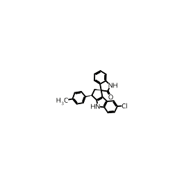 Cc1ccc([C@H]2C[C@@]3(C(=O)Nc4ccccc43)c3c2[nH]c2ccc(Cl)cc32)cc1